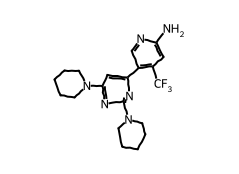 Nc1cc(C(F)(F)F)c(-c2cc(N3CCCCC3)nc(N3CCCCC3)n2)cn1